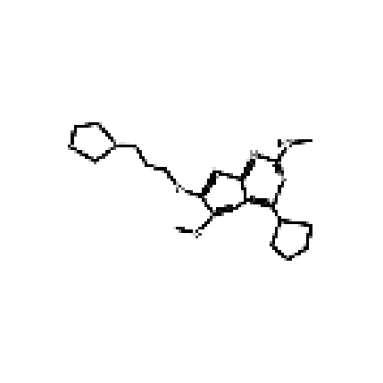 CNc1nc(C2CCCC2)c2cc(OC)c(OCCCN3CCCC3)cc2n1